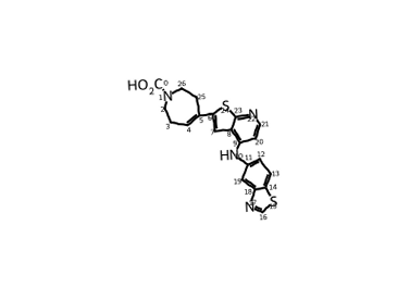 O=C(O)N1CCC=C(c2cc3c(Nc4ccc5scnc5c4)ccnc3s2)CC1